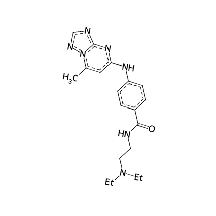 CCN(CC)CCNC(=O)c1ccc(Nc2cc(C)n3ncnc3n2)cc1